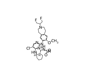 COc1cc2c(cc1Nc1ncc(Cl)c(N[C@@H]3CCCC[C@@H]3CN[SH](=O)=O)n1)CCN(C(CF)CF)CC2